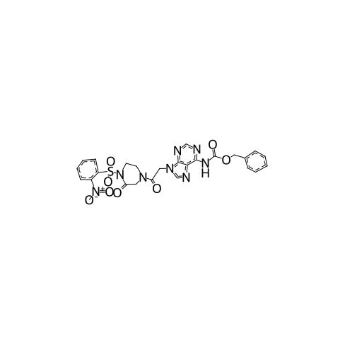 O=C(Nc1ncnc2c1ncn2CC(=O)N1CCN(S(=O)(=O)c2ccccc2[N+](=O)[O-])C(=O)C1)OCc1ccccc1